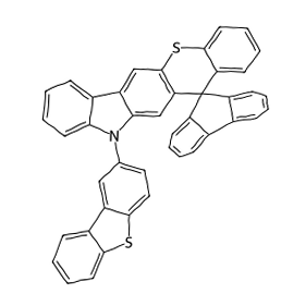 c1ccc2c(c1)Sc1cc3c4ccccc4n(-c4ccc5sc6ccccc6c5c4)c3cc1C21c2ccccc2-c2ccccc21